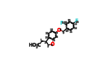 O=C(O)C[C@@H]1COc2cc(OCc3ccc(F)cc3F)ccc21